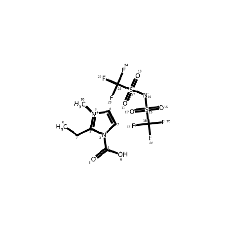 CCc1n(C(=O)O)cc[n+]1C.O=S(=O)([N-]S(=O)(=O)C(F)(F)F)C(F)(F)F